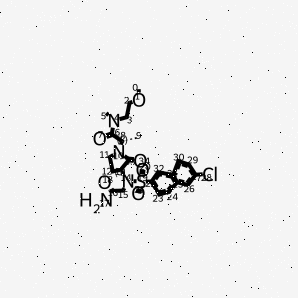 COCCN(C)C(=O)[C@H](C)N1CC[C@H](N(CC(N)=O)S(=O)(=O)c2ccc3cc(Cl)ccc3c2)C1=O